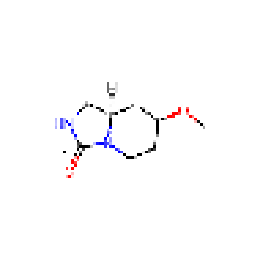 CO[C@H]1CCN2C(=O)NC[C@H]2C1